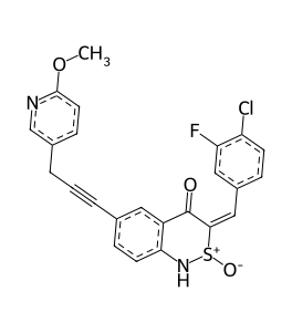 COc1ccc(CC#Cc2ccc3c(c2)C(=O)/C(=C\c2ccc(Cl)c(F)c2)[S+]([O-])N3)cn1